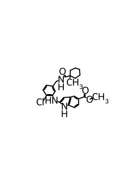 COC(=O)c1ccc2[nH]c(Nc3cc(CNC(=O)C4(C)CCCCC4)ccc3Cl)cc2c1